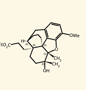 CCOC(=O)CC[C@@]12CC[C@@](C)(O)[C@@]3(C)Oc4c(OC)ccc5c4[C@]13CCC[C@@H]2C5